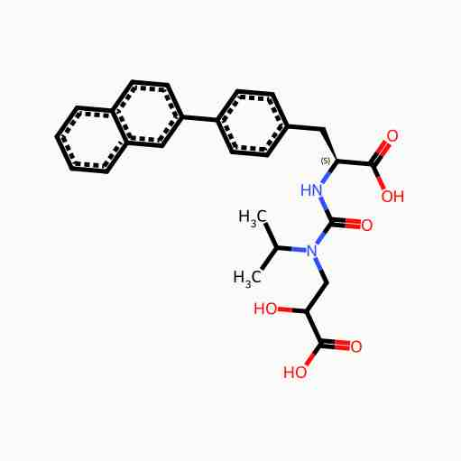 CC(C)N(CC(O)C(=O)O)C(=O)N[C@@H](Cc1ccc(-c2ccc3ccccc3c2)cc1)C(=O)O